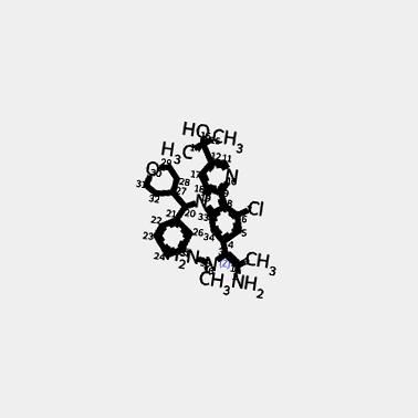 C/C(N)=C(\c1cc(Cl)c2c3ncc(C(C)(C)O)cc3n(C(c3ccccc3)C3CCOCC3)c2c1)N(C)N